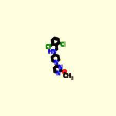 COc1nccc(N2CCC(NCc3c(Cl)cccc3Cl)CC2)n1